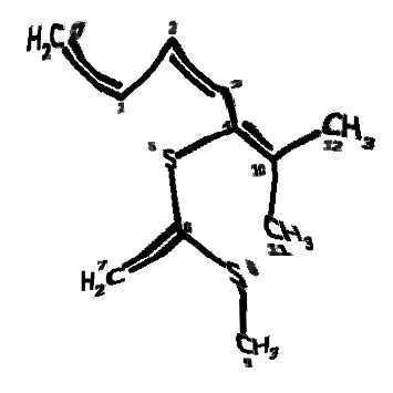 C=C/C=C\C(SC(=C)SC)=C(C)C